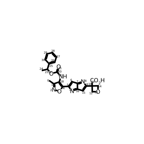 Cc1noc(C2=CC3=NC(C4(C(=O)O)COC4)=CC3=N2)c1NC(=O)OC(C)c1ccccc1